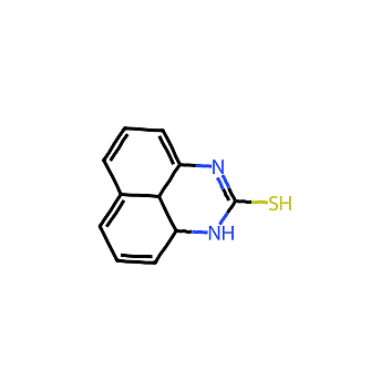 SC1=NC2=CC=CC3=CC=CC(N1)C32